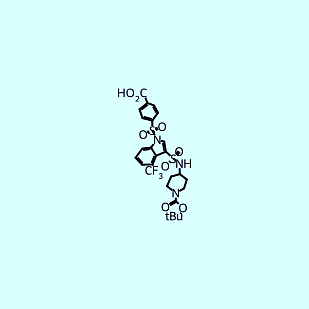 CC(C)(C)OC(=O)N1CCC(NS(=O)(=O)c2cn(S(=O)(=O)c3ccc(C(=O)O)cc3)c3cccc(C(F)(F)F)c23)CC1